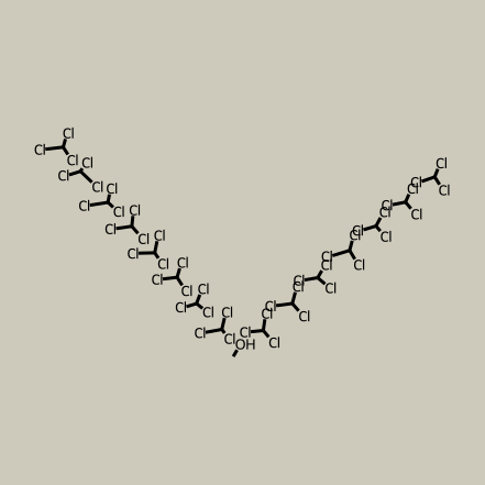 CO.ClC(Cl)Cl.ClC(Cl)Cl.ClC(Cl)Cl.ClC(Cl)Cl.ClC(Cl)Cl.ClC(Cl)Cl.ClC(Cl)Cl.ClC(Cl)Cl.ClC(Cl)Cl.ClC(Cl)Cl.ClC(Cl)Cl.ClC(Cl)Cl.ClC(Cl)Cl.ClC(Cl)Cl.ClC(Cl)Cl